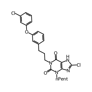 CCCCCn1c(=O)n(CCCc2cccc(Oc3cccc(Cl)c3)c2)c(=O)c2[nH]c(Cl)nc21